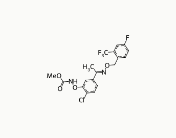 COC(=O)NOc1cc(/C(C)=N/OCc2ccc(F)cc2C(F)(F)F)ccc1Cl